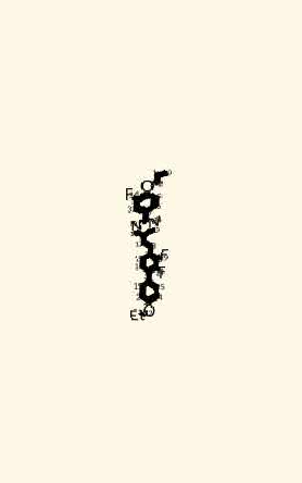 C=CCOc1ccc(-c2ncc(/C=C/c3ccc(-c4ccc(OCC)cc4)c(F)c3F)cn2)cc1F